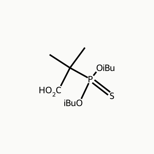 CC(C)COP(=S)(OCC(C)C)C(C)(C)C(=O)O